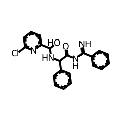 N=C(NC(=O)C(NC(O)c1cccc(Cl)n1)c1ccccc1)c1ccccc1